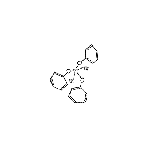 BrP(Br)(Oc1ccccc1)(Oc1ccccc1)Oc1ccccc1